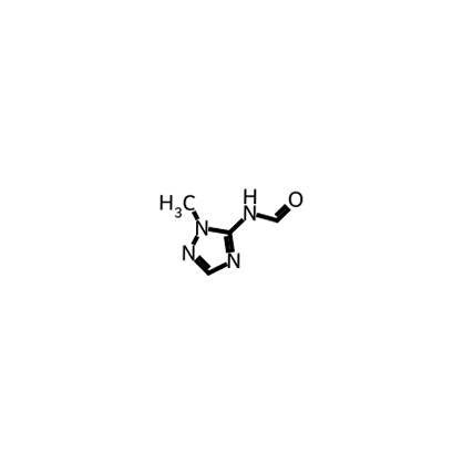 Cn1ncnc1NC=O